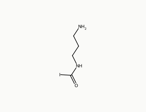 NCCCNC(=O)I